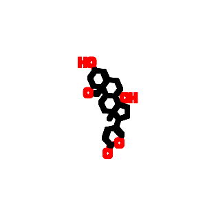 CC12CCC3C(CCC4=CC(O)CCC43C=O)C1(O)CCC2c1ccc(=O)oc1